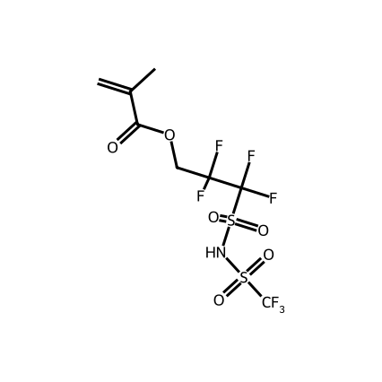 C=C(C)C(=O)OCC(F)(F)C(F)(F)S(=O)(=O)NS(=O)(=O)C(F)(F)F